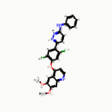 COc1cc2nccc(Oc3cc(F)c(-c4ccc(Nc5ccccc5)nn4)cc3F)c2cc1OC